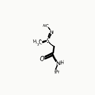 CC(C)NC(=O)C/S(C)=N/C#N